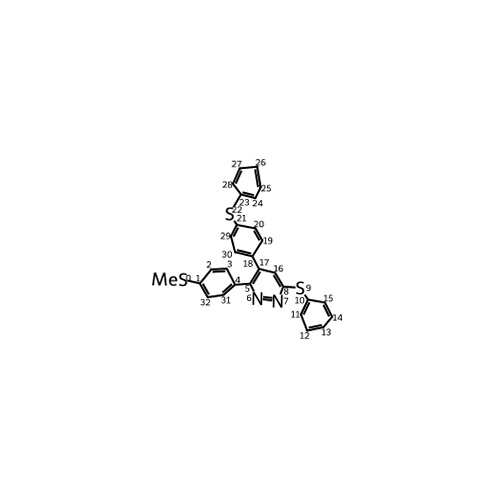 CSc1ccc(-c2nnc(Sc3ccccc3)cc2-c2ccc(Sc3ccccc3)cc2)cc1